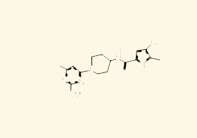 CSc1nc(C(=O)O)cc(N2CCC(NC(=O)c3cc(Br)c(C)[nH]3)CC2)n1